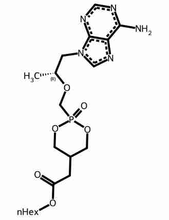 CCCCCCOC(=O)CC1COP(=O)(CO[C@H](C)Cn2cnc3c(N)ncnc32)OC1